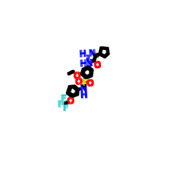 CCOc1cc(NC(=O)[C@@H](N)C2CCCC2)ccc1S(=O)(=O)Nc1cccc(OC(F)(F)F)c1